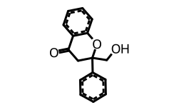 O=C1CC(CO)(c2ccccc2)Oc2ccccc21